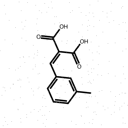 Cc1cccc(C=C(C(=O)O)C(=O)O)c1